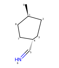 C[C@H]1CC[C@H](C=N)CC1